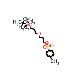 Cc1ccc(S(=O)(=O)OCCCOCCCO[Si](C)(C)C(C)(C)C)cc1